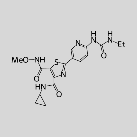 CCNC(=O)Nc1ccc(-c2nc(C(=O)NC3CC3)c(C(=O)NOC)s2)cn1